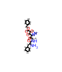 C[C@H](NC(=O)[C@@H](N)Cc1ccccc1)C(=O)C(=[N+]=[N-])C(=O)C(=O)C(=O)OCc1ccccc1